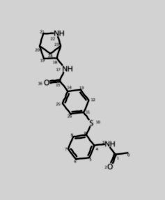 CC(=O)Nc1ccccc1Sc1ccc(C(=O)NC2CC3CNC2C3)cc1